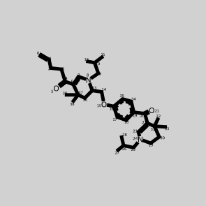 C=CCCC(=O)C1=CN(CC(C)C)C(COc2ccc(C(=O)C3=CN(CC(C)C)CCC3(C)C)cc2)CC1(C)C